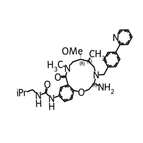 CO[C@H]1CN(C)C(=O)c2cc(NC(=O)NCC(C)C)ccc2OC[C@H](N)N(Cc2ccc(-c3ccccn3)cc2)C[C@@H]1C